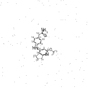 CC(C)Oc1cc(Nc2ccc(CC(N)=O)cc2)c2c(n1)CCC2